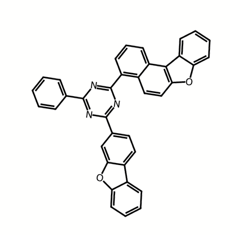 c1ccc(-c2nc(-c3ccc4c(c3)oc3ccccc34)nc(-c3cccc4c3ccc3oc5ccccc5c34)n2)cc1